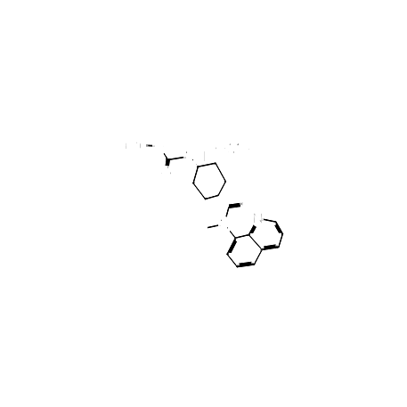 CO[C@@H]1C[C@H](C(=O)N(C)c2cccc3cccnc23)CC[C@H]1NC(=O)OC(C)(C)C